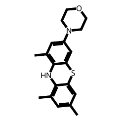 Cc1cc(C)c2c(c1)Sc1cc(N3CCOCC3)cc(C)c1N2